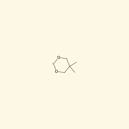 CC1(C)CO[C]OC1